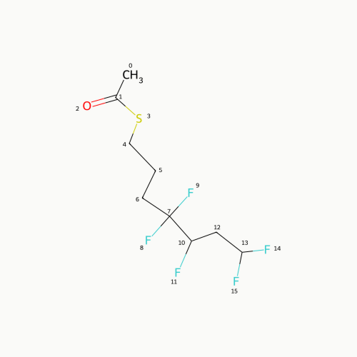 CC(=O)SCCCC(F)(F)C(F)CC(F)F